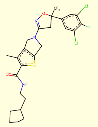 Cc1c(C(=O)NCCC2CCCC2)sc2c1CN(C1=NOC(c3cc(Cl)c(F)c(Cl)c3)(C(F)(F)F)C1)C2